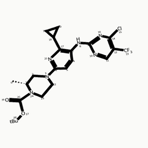 C[C@@H]1CN(c2ccc(Nc3ncc(C(F)(F)F)c(Cl)n3)c(C3CC3)n2)CCN1C(=O)OC(C)(C)C